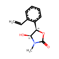 C=Cc1ccccc1[C@H]1OC(=O)N(C)[C@H]1O